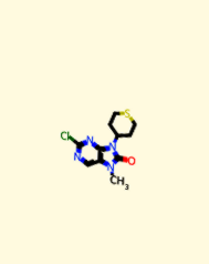 Cn1c(=O)n(C2CCSCC2)c2nc(Cl)ncc21